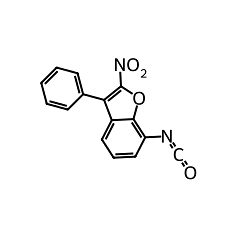 O=C=Nc1cccc2c(-c3ccccc3)c([N+](=O)[O-])oc12